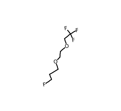 FCCCOCCOCC(F)(F)F